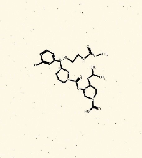 COC(=O)NCCO[C@@H](c1cccc(Cl)c1)[C@@H]1CCCN(C(=O)OC2CN(C(=O)O)CCC2CC(C)C)C1